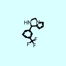 FC(F)(F)c1cccc(C2NCCn3cccc32)c1